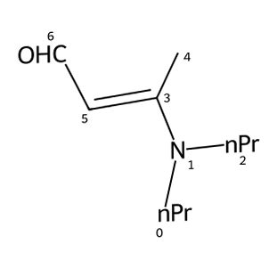 CCCN(CCC)C(C)=CC=O